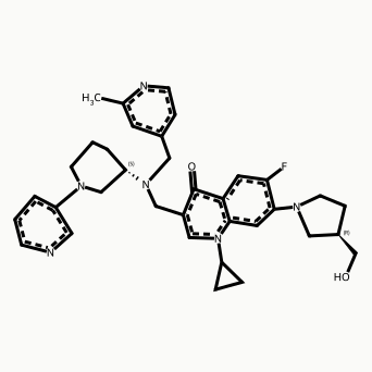 Cc1cc(CN(Cc2cn(C3CC3)c3cc(N4CC[C@@H](CO)C4)c(F)cc3c2=O)[C@H]2CCCN(c3cccnc3)C2)ccn1